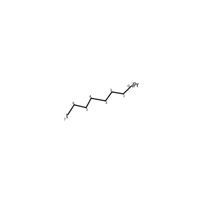 CC(C)CCCCCCI